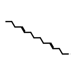 [CH2]CC/C=C/CCCC/C=C/CCC